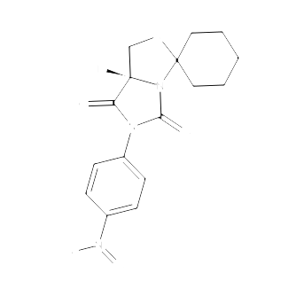 O=C1[C@@H]2CSC3(CCCCC3)N2C(=O)N1c1ccc([N+](=O)[O-])cc1